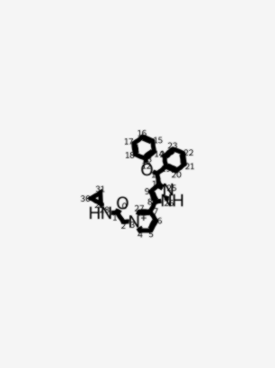 O=C(C[n+]1cccc(-c2cc(C(Oc3ccccc3)c3ccccc3)n[nH]2)c1)NC1CC1